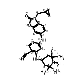 CN1C(C)(C)CC(Nc2nc(Nc3ccc4c(c3)oc(=O)n4CC3CC3)ncc2C#N)CC1(C)C